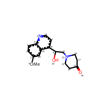 COc1ccc2nccc(C(O)CN3CCC(=O)CC3)c2c1